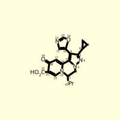 CC(C)C1Cn2nc(C3CC3)c(-c3cnco3)c2-c2cc(=O)c(C(=O)O)cn21